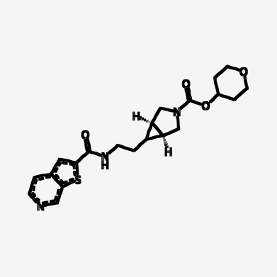 O=C(NCCC1[C@H]2CN(C(=O)OC3CCOCC3)C[C@@H]12)c1cc2ccncc2s1